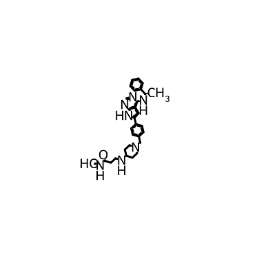 C[C@@H](Nc1ncnc2[nH]c(-c3ccc(CN4CCC(NCCC(=O)NO)CC4)cc3)cc12)c1ccccc1